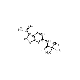 CC(C)(C)C(=O)Nc1cc2c(cn1)C(C(=O)O)CC2